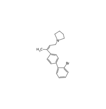 C/C(=C/CN1CCCC1)c1ccc(-c2ccccc2Br)cc1